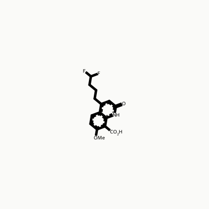 COc1ccc2c(CCCC(F)F)cc(=O)[nH]c2c1C(=O)O